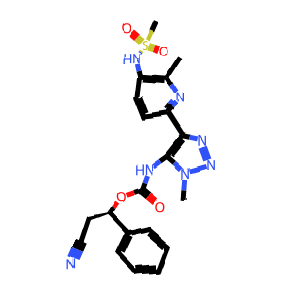 Cc1nc(-c2nnn(C)c2NC(=O)O[C@H](CC#N)c2ccccc2)ccc1NS(C)(=O)=O